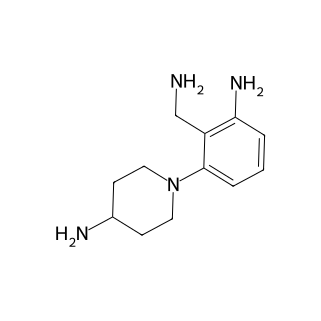 NCc1c(N)cccc1N1CCC(N)CC1